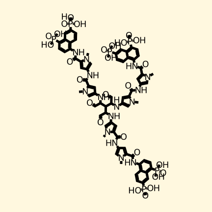 Cn1cc(NC(C=O)C(C(C=O)Nc2cc(C(=O)Nc3cc(C(=O)Nc4ccc(P(=O)(O)O)c5cc(P(=O)(O)O)ccc45)n(C)c3)n(C)c2)C(C=O)Nc2cc(C(=O)Nc3cc(C(=O)Nc4ccc(P(=O)(O)O)c5cc(P(=O)(O)O)ccc45)n(C)c3)n(C)c2)cc1C(=O)Nc1cc(C(=O)Nc2ccc(P(=O)(O)O)c3cc(P(=O)(O)O)ccc23)n(C)c1